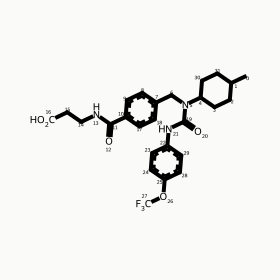 CC1CCC(N(Cc2ccc(C(=O)NCCC(=O)O)cc2)C(=O)Nc2ccc(OC(F)(F)F)cc2)CC1